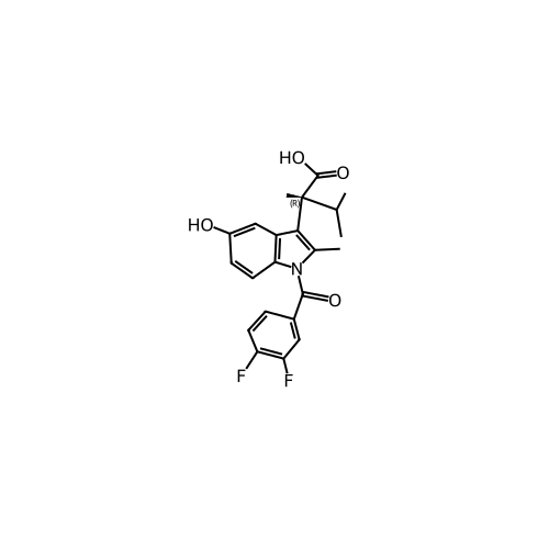 Cc1c([C@](C)(C(=O)O)C(C)C)c2cc(O)ccc2n1C(=O)c1ccc(F)c(F)c1